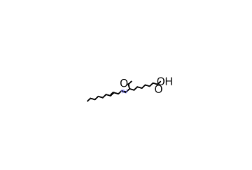 CCCCCCC=CC/C=C/C(CCCCCCC(=O)O)C(C)=O